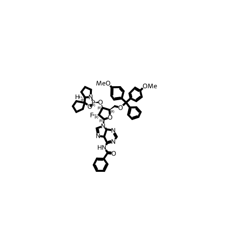 COc1ccc(C(OC[C@H]2O[C@@H](N3C=NC4C(NC(=O)c5ccccc5)=NC=NC43)[C@H](F)[C@@H]2O[P@@]2OC3(CCCC3)[C@H]3CCCN32)(c2ccccc2)c2ccc(OC)cc2)cc1